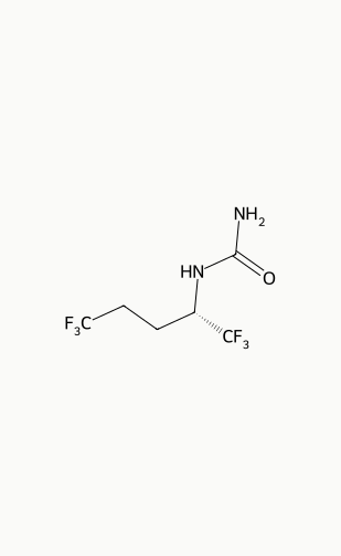 NC(=O)N[C@@H](CCC(F)(F)F)C(F)(F)F